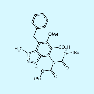 COc1c(C(=O)O)c(N(C(=O)OC(C)(C)C)C(=O)OC(C)(C)C)c2[nH]nc(C)c2c1Cc1ccccc1